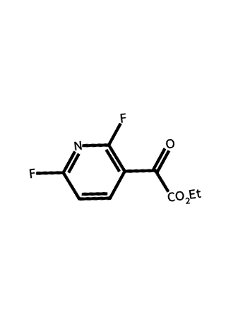 CCOC(=O)C(=O)c1ccc(F)nc1F